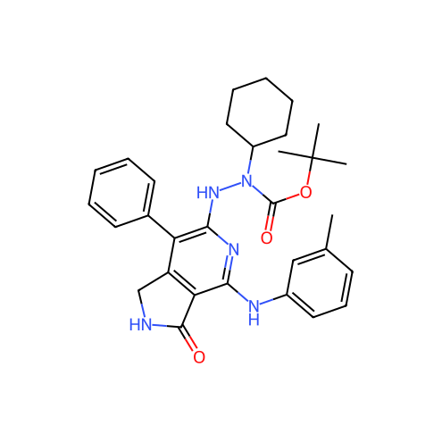 Cc1cccc(Nc2nc(NN(C(=O)OC(C)(C)C)C3CCCCC3)c(-c3ccccc3)c3c2C(=O)NC3)c1